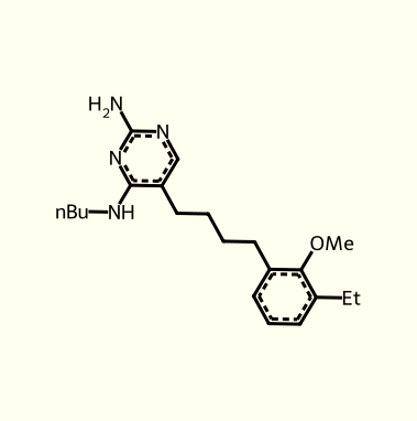 CCCCNc1nc(N)ncc1CCCCc1cccc(CC)c1OC